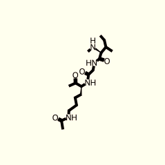 CCC(C)[C@H](NC)C(=O)NCC(=O)N[C@@H](CCCCNC(C)=O)C(C)=O